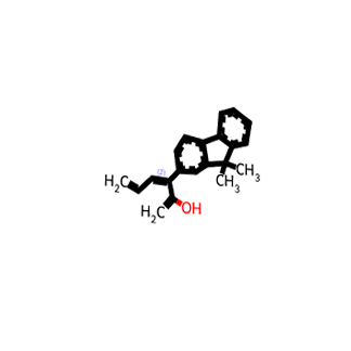 C=C/C=C(\C(=C)O)c1ccc2c(c1)C(C)(C)c1ccccc1-2